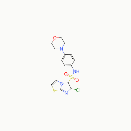 O=S(=O)(Nc1ccc(N2CCOCC2)cc1)C1C(Cl)N=C2SC=CN21